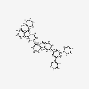 c1ccc(-c2nc(-c3ccccc3)nc(-c3ccc4oc5c(-c6ccc7c(c6)c6cccc8c6n7-c6ccccc6O8)cccc5c4c3)n2)cc1